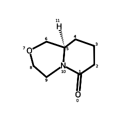 O=C1CCC[C@@H]2COCCN12